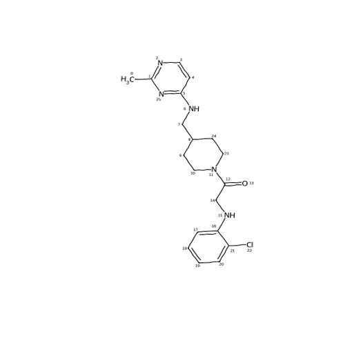 Cc1nccc(NCC2CCN(C(=O)CNc3ccccc3Cl)CC2)n1